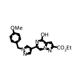 CCOC(=O)c1cc2c(O)nc(-c3cnn(Cc4ccc(OC)cc4)c3)cn2n1